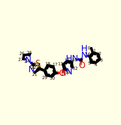 Cc1ccccc1NC(=O)Nc1ccc(Oc2ccc(-c3cnc(N4CCC4)s3)cc2)nc1